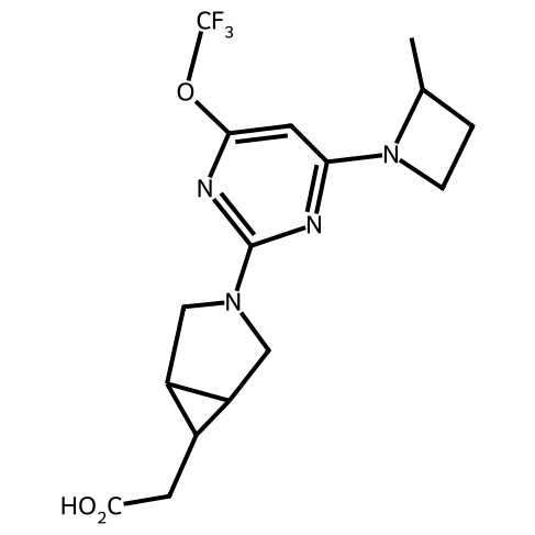 CC1CCN1c1cc(OC(F)(F)F)nc(N2CC3C(CC(=O)O)C3C2)n1